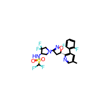 Cc1cnc([C@@H]2CC(N3C[C@@H](NS(=O)(=O)C(F)F)C(F)(F)C3)=NO2)c(-c2c(F)cccc2F)c1